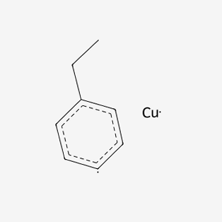 CCc1cc[c]cc1.[Cu]